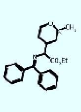 CCOC(=O)C(N=C(c1ccccc1)c1ccccc1)C1CCO[C@@H](C)C1